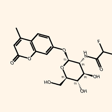 Cc1cc(=O)oc2cc(O[C@@H]3O[C@H](CO)[C@@H](O)[C@H](O)[C@H]3NC(=O)C(F)F)ccc12